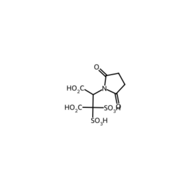 O=C(O)C(N1C(=O)CCC1=O)C(C(=O)O)(S(=O)(=O)O)S(=O)(=O)O